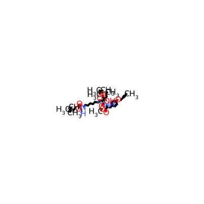 CC#CCOc1ccc(C[C@H](NC(=O)[C@@H](/C=C/CCCCCNC(=O)OCC[Si](C)(C)C)[C@@](O)(CCC)C(=O)OC(C)(C)C)C(=O)OC)cc1